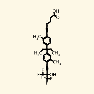 CCC(CC)(c1ccc(C#CCCCC(=O)O)c(C)c1)c1ccc(C#CC(O)(C(F)(F)F)C(F)(F)F)c(C)c1